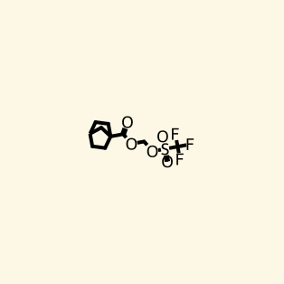 O=C(OCOS(=O)(=O)C(F)(F)F)C12CCC(CC1)C2